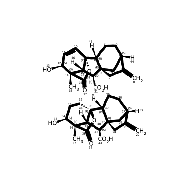 C=C1C[C@]23C[C@@H]1CC[C@H]2[C@@]12C=C[C@H](O)[C@@](C)(C(=O)O1)[C@H]2[C@@H]3C(=O)O.C=C1C[C@]23C[C@@H]1CC[C@H]2[C@@]12CC[C@H](O)[C@@](C)(C(=O)O1)[C@H]2[C@@H]3C(=O)O